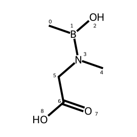 CB(O)N(C)CC(=O)O